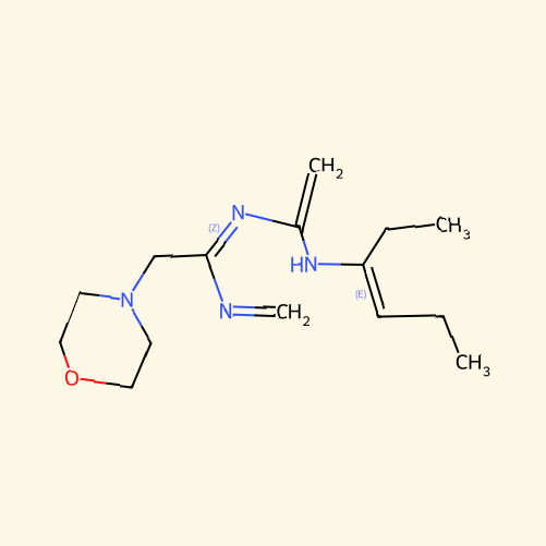 C=N/C(CN1CCOCC1)=N\C(=C)N/C(=C/CC)CC